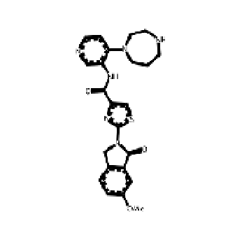 COc1ccc2c(c1)C(=O)N(c1nc(C(=O)Nc3cnccc3N3CCCNCC3)cs1)C2